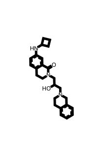 O=C1c2cc(NC3CCC3)ccc2CCN1CC(O)CN1CCc2ccccc2C1